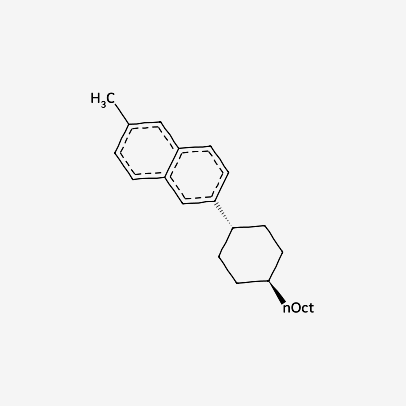 CCCCCCCC[C@H]1CC[C@H](c2ccc3cc(C)ccc3c2)CC1